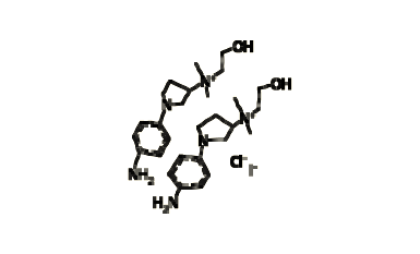 C[N+](C)(CCO)C1CCN(c2ccc(N)cc2)C1.C[N+](C)(CCO)C1CCN(c2ccc(N)cc2)C1.[Cl-].[I-]